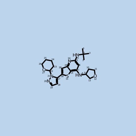 CC(C)(C)Nc1cc(NC2CCOC2)c2sc(-c3ccnn3C3CCCCO3)cc2n1